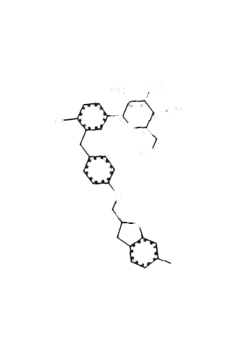 Cc1ccc2c(c1)OC(COc1ccc(Cc3cc([C@@H]4O[C@H](CO)[C@@H](O)[C@H](O)[C@H]4O)ccc3Cl)cc1)C2